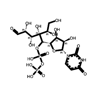 O=C[C@H](O)[C@@H](O)[C@](O)(C(OP(=O)(O)OP(=O)(O)O)[C@H]1O[C@@H](n2ccc(=O)[nH]c2=O)[C@H](O)[C@@H]1O)[C@H](O)CO